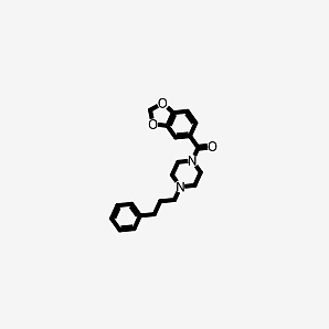 O=C(c1ccc2c(c1)OCO2)N1CCN(CCCc2ccccc2)CC1